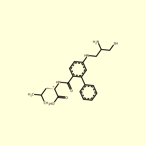 CC(C)C[C@H](NC(=O)c1ccc(NCC(N)CS)cc1-c1ccccc1)C(=O)O